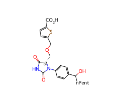 CCCCCC(O)c1ccc(N2C(=O)NC(=O)[C@@H]2COCc2ccc(C(=O)O)s2)cc1